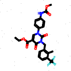 CCOC(=O)c1cn(-c2ccc(NC(=O)OC)cc2)c(=O)n(Cc2cccc(C(F)(F)F)c2C)c1=O